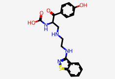 O=C(O)NC(CNCCNc1nsc2ccccc12)C(=O)c1ccc(O)cc1